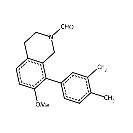 COc1ccc2c(c1-c1ccc(C)c(C(F)(F)F)c1)CN(C=O)CC2